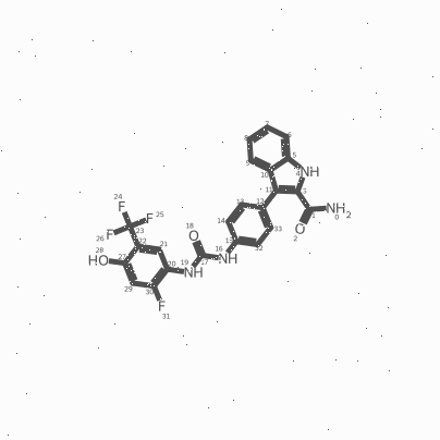 NC(=O)c1[nH]c2ccccc2c1-c1ccc(NC(=O)Nc2cc(C(F)(F)F)c(O)cc2F)cc1